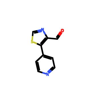 O=Cc1ncsc1-c1ccncc1